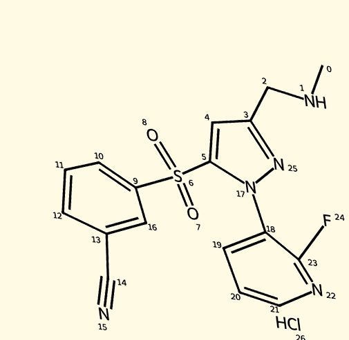 CNCc1cc(S(=O)(=O)c2cccc(C#N)c2)n(-c2cccnc2F)n1.Cl